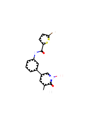 O=C(Nc1cccc(-c2cc(C(=O)O)c(=O)n(O)c2)c1)c1ccc(Br)s1